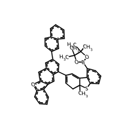 CC12CC=C(c3cc(-c4ccc5ccccc5c4)cc4cc5oc6ccccc6c5cc34)C=C1c1c(cccc1B1OC(C)(C)C(C)(C)O1)S2